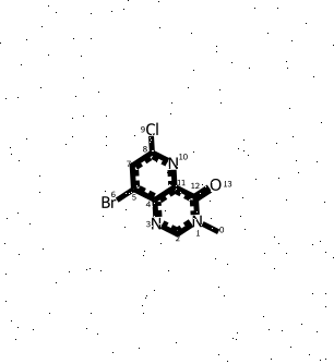 Cn1cnc2c(Br)cc(Cl)nc2c1=O